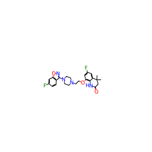 CC1(C)CC(=O)Nc2c(OCCN3CCN(c4noc5cc(F)ccc45)CC3)cc(F)cc21